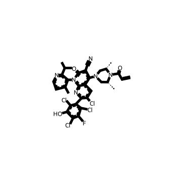 C=CC(=O)N1[C@H](C)CN(c2c(C#N)c(=O)n(-c3c(C)ccnc3C(C)C)c3nc(-c4c(Cl)c(O)c(Cl)c(F)c4Cl)c(Cl)cc23)C[C@@H]1C